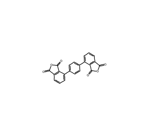 O=C1OC(=O)c2c1cccc2-c1ccc(-c2cccc3c2C(=O)OC3=O)cc1